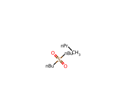 CCCC.CCCCS(=O)(=O)CCCC